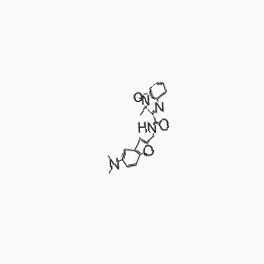 Cc1c(C(=O)NCc2cc3cc(N(C)C)ccc3o2)nc2ccccc2[n+]1[O-]